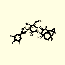 CN(CC1CC1)C(=O)[C@H](S[C@@H]1O[C@H](CO)[C@H](O)[C@H](n2cc(-c3cc(F)c(F)c(F)c3)nn2)[C@H]1O)C1(O)CCC(F)(F)CC1